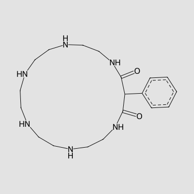 O=C1NCCNCCNCCNCCNCCNC(=O)C1c1ccccc1